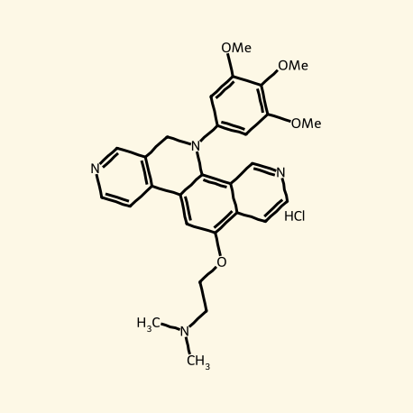 COc1cc(N2Cc3cnccc3-c3cc(OCCN(C)C)c4ccncc4c32)cc(OC)c1OC.Cl